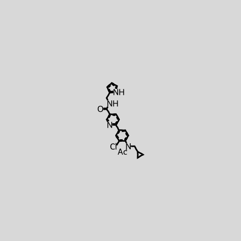 CC(=O)N(CC1CC1)c1ccc(-c2ccc(C(=O)NCc3ccc[nH]3)cn2)cc1Cl